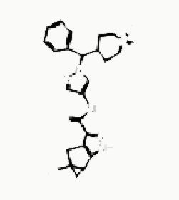 CC12Cc3c(C(=O)Nc4cnn(C(c5ccccc5)C5CCS(=O)(=O)CC5)c4)n[nH]c3C1C2